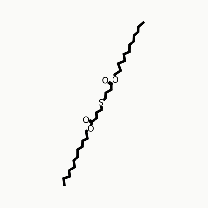 CCCCCCCCCCCCOC(=O)CCCSCCCC(=O)OCCCCCCCCCCCC